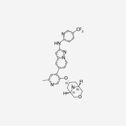 Cc1cc(-c2ccn3nc(Nc4ccc(C(F)(F)F)cn4)cc3c2)c(O[C@H]2C[C@H]3COC[C@@H](C2)N3C)cn1